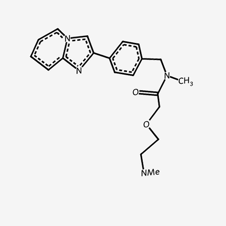 CNCCOCC(=O)N(C)Cc1ccc(-c2cn3ccccc3n2)cc1